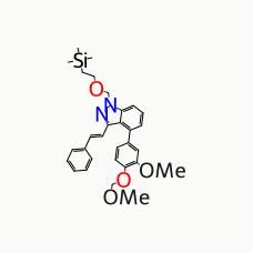 COCOc1ccc(-c2cccc3c2c(C=Cc2ccccc2)nn3COCC[Si](C)(C)C)cc1OC